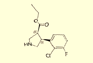 CCOC(=O)[C@@H]1CNC[C@@H]1c1cccc(F)c1Cl